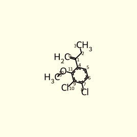 C=C(CC)c1ccc(Cl)c(Cl)c1OC